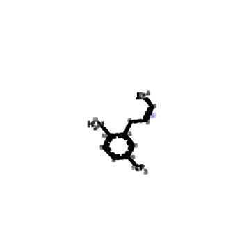 CC/C=C\Cc1cc(C(F)(F)F)ccc1N